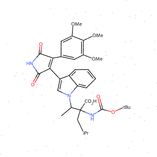 COc1cc(C2=C(c3cn(C(C)C(CC(C)C)(NC(=O)OC(C)(C)C)C(=O)O)c4ccccc34)C(=O)NC2=O)cc(OC)c1OC